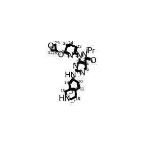 CC(C)n1c(=O)c2cnc(Nc3ccc4c(c3)CNCC4)nc2n1-c1cccc(OC2COC2)n1